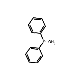 O.c1ccc([P]c2ccccc2)cc1